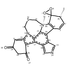 C[C@@H]1C=CC2=C(C13OO3)[N@+]1(C)CSCn3c4c(c5c6c(c2c1c53)C=NC=6)C(=O)CC(=O)C=4